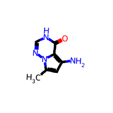 Cc1cc(N)c2c(=O)[nH]cnn12